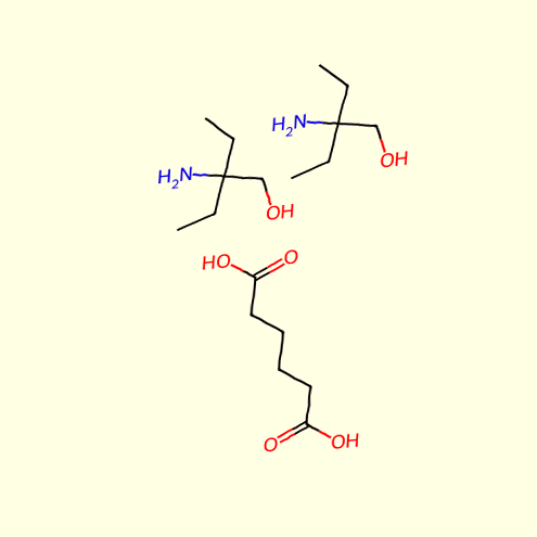 CCC(N)(CC)CO.CCC(N)(CC)CO.O=C(O)CCCCC(=O)O